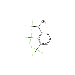 C[C](c1cccc(C(F)(F)F)c1C(F)(F)F)C(F)(F)F